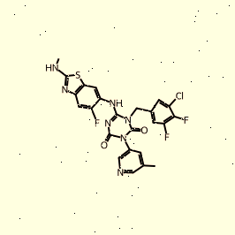 CNc1nc2cc(F)c(Nc3nc(=O)n(-c4cncc(C)c4)c(=O)n3Cc3cc(F)c(F)c(Cl)c3)cc2s1